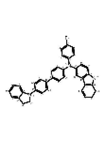 Fc1ccc(N(c2ccc(-c3ccc(N4CCc5ccccc54)cc3)cc2)c2ccc3sc4c(c3c2)C=CCC4)cc1